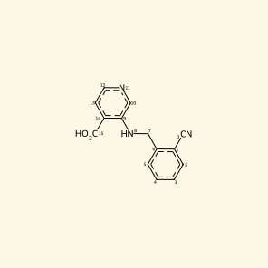 N#Cc1ccccc1CNc1cnccc1C(=O)O